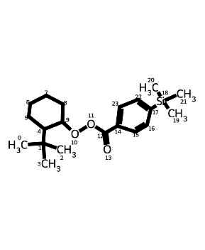 CC(C)(C)C1CCCC[C]1OOC(=O)c1ccc([Si](C)(C)C)cc1